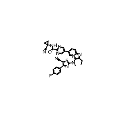 CCc1nc2ccc(-c3cnc(C(=O)NC4(C#N)CC4)nc3)cn2c1N(C)c1nc(-c2ccc(F)cc2)c(C#N)s1